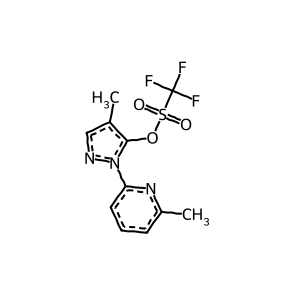 Cc1cccc(-n2ncc(C)c2OS(=O)(=O)C(F)(F)F)n1